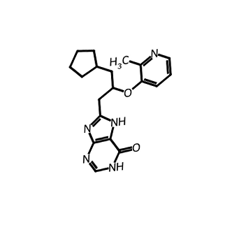 Cc1ncccc1OC(Cc1nc2nc[nH]c(=O)c2[nH]1)CC1CCCC1